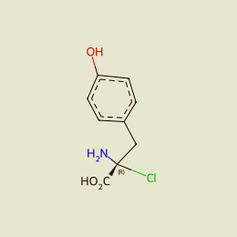 N[C@@](Cl)(Cc1ccc(O)cc1)C(=O)O